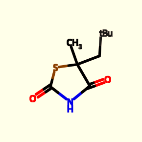 CC(C)(C)CC1(C)SC(=O)NC1=O